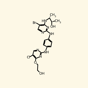 C[C@@H](O)[C@@H](C)Nc1nc(Nc2ccc(Nc3ncc(Cl)c(OCCO)n3)cc2)ncc1Br